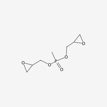 CP(=O)(OCC1CO1)OCC1CO1